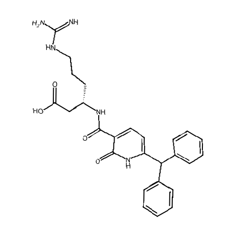 N=C(N)NCCC[C@@H](CC(=O)O)NC(=O)c1ccc(C(c2ccccc2)c2ccccc2)[nH]c1=O